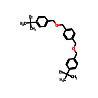 CCC(C)(C)c1ccc(COCc2ccc(COCc3ccc(C(C)(C)CC)cc3)cc2)cc1